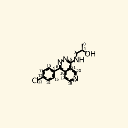 C[C@@H](O)CNc1nnc(-c2ccc(Cl)cc2)c2ccncc12